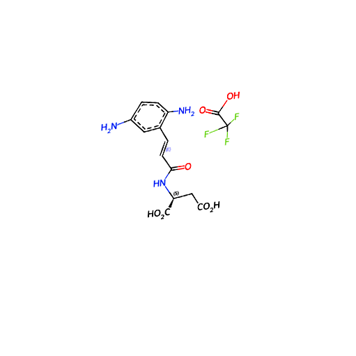 Nc1ccc(N)c(/C=C/C(=O)N[C@@H](CC(=O)O)C(=O)O)c1.O=C(O)C(F)(F)F